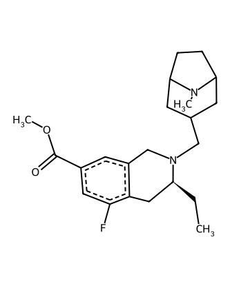 CC[C@H]1Cc2c(F)cc(C(=O)OC)cc2CN1CC1CC2CCC(C1)N2C